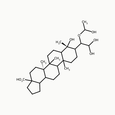 CC(O)OC(C(O)O)C1CCC2(C)C3CCC4C5CCCC5(C(=O)O)CC[C@@]4(C)C3(C)CCC2[C@]1(C)O